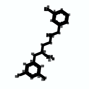 CCc1cccc(CNCC[C@@H](N)[CH]c2cc(F)cc(F)c2)c1